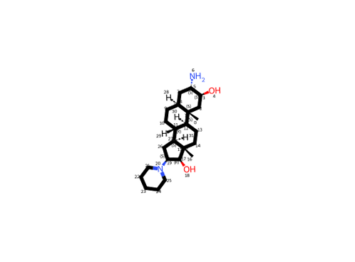 C[C@]12C[C@H](O)[C@@H](N)C[C@@H]1CC[C@@H]1[C@@H]2CC[C@]2(C)[C@@H](O)[C@@H](N3CCCCC3)C[C@@H]12